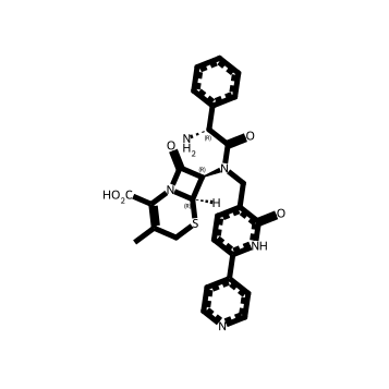 CC1=C(C(=O)O)N2C(=O)[C@@H](N(Cc3ccc(-c4ccncc4)[nH]c3=O)C(=O)[C@H](N)c3ccccc3)[C@H]2SC1